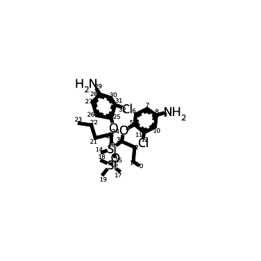 CCCC(Oc1ccc(N)cc1Cl)[Si](C)(O[Si](C)(C)C)C(CCC)Oc1ccc(N)cc1Cl